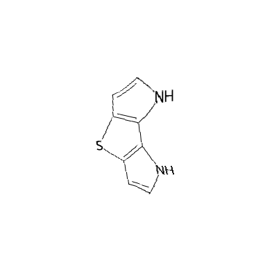 c1cc2sc3cc[nH]c3c2[nH]1